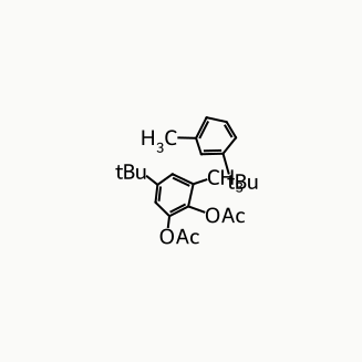 CC(=O)Oc1cc(C(C)(C)C)cc(C)c1OC(C)=O.Cc1cccc(C(C)(C)C)c1